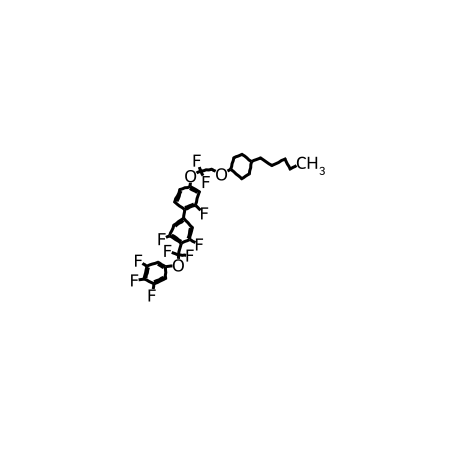 CCCCCC1CCC(OCC(F)(F)Oc2ccc(-c3cc(F)c(C(F)(F)Oc4cc(F)c(F)c(F)c4)c(F)c3)c(F)c2)CC1